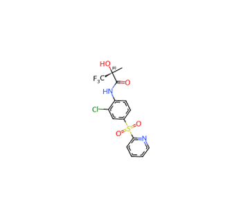 C[C@@](O)(C(=O)Nc1ccc(S(=O)(=O)c2ccccn2)cc1Cl)C(F)(F)F